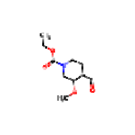 CCOC(=O)N1CCC(C=O)C(OC)C1